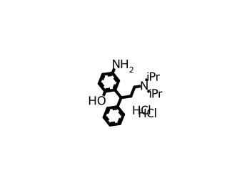 CC(C)N(CCC(c1ccccc1)c1cc(N)ccc1O)C(C)C.Cl.Cl